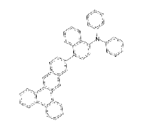 c1ccc(N(c2ccccc2)c2ccc(-c3ccc4cc5c6ccccc6c6ccccc6c5cc4c3)c3ccccc23)cc1